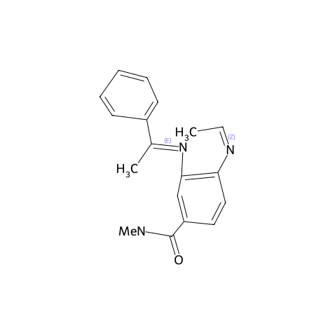 C/C=N\c1ccc(C(=O)NC)cc1/N=C(\C)c1ccccc1